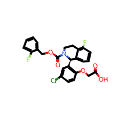 O=C(O)COc1ccc(Cl)cc1[C@@H]1c2cccc(F)c2CCN1C(=O)OCc1ccccc1F